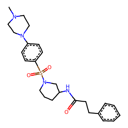 CN1CCN(c2ccc(S(=O)(=O)N3CCCC(NC(=O)CCc4ccccc4)C3)cc2)CC1